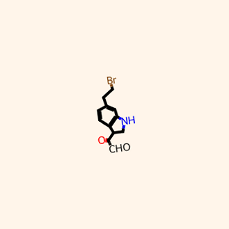 O=CC(=O)C1CNc2cc(CCBr)ccc21